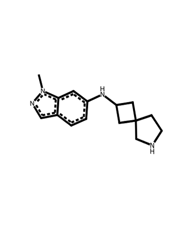 Cn1ncc2ccc(NC3CC4(CCNC4)C3)cc21